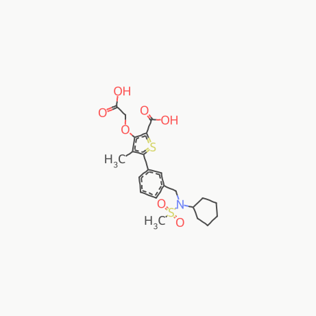 Cc1c(-c2cccc(CN(C3CCCCC3)S(C)(=O)=O)c2)sc(C(=O)O)c1OCC(=O)O